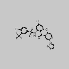 O=C(c1cc(-n2cccn2)ncc1Cl)c1ncc(Cl)cc1NS(=O)(=O)c1ccc(Cl)c(C(F)(F)F)c1